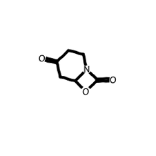 O=C1CCN2C(=O)OC2C1